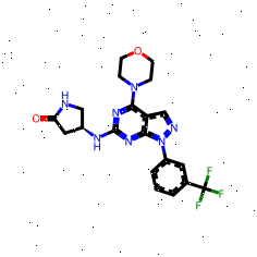 O=C1C[C@H](Nc2nc(N3CCOCC3)c3cnn(-c4cccc(C(F)(F)F)c4)c3n2)CN1